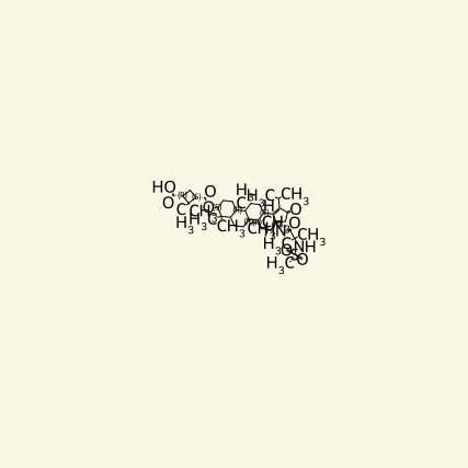 CC(C)C1=C2[C@H]3CCC4[C@@]5(C)CC[C@H](OC(=O)[C@H]6C[C@@H](C(=O)O)C6(C)C)C(C)(C)C5CC[C@@]4(C)[C@]3(C)CC[C@@]2(NC(=O)C(C)(C)NS(C)(=O)=O)CC1=O